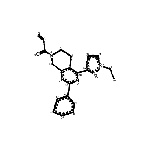 C=CC(=O)N1CCc2c(nc(-c3ccccc3)nc2-c2ccn(CC)n2)C1